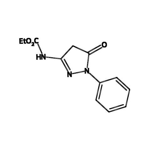 CCOC(=O)NC1=NN(c2ccccc2)C(=O)C1